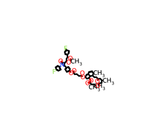 CCC(C)C(=O)OC1CC(OC(=O)CCCC(=O)Oc2ccc(C3C(CCC(OC(C)=O)c4ccc(F)cc4)C(=O)N3c3ccc(F)cc3)cc2)C=C2C=CC(C)C(CCC3CC(C)CC(=O)O3)C21